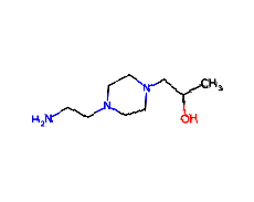 CC(O)CN1CCN(CCN)CC1